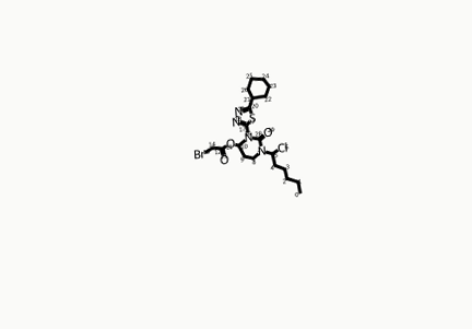 CCCCCC(Cl)N1CCC(OC(=O)CBr)N(c2nnc(C3CCCCC3)s2)C1=O